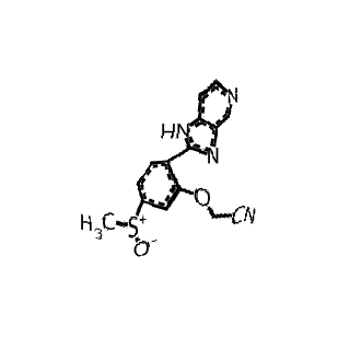 C[S+]([O-])c1ccc(-c2nc3cnccc3[nH]2)c(OCC#N)c1